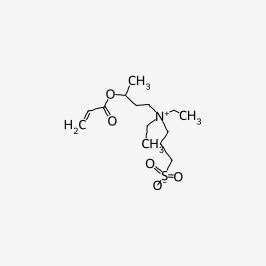 C=CC(=O)OC(C)CC[N+](CC)(CC)CCCS(=O)(=O)[O-]